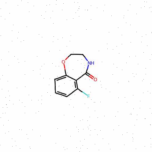 O=C1NCCOc2cccc(F)c21